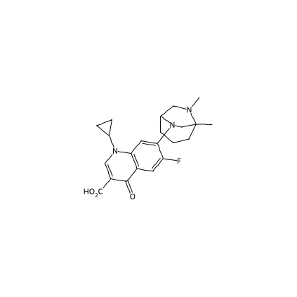 CN1CC2CCCC1(C)CN2c1cc2c(cc1F)c(=O)c(C(=O)O)cn2C1CC1